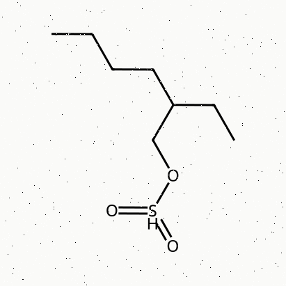 CCCCC(CC)CO[SH](=O)=O